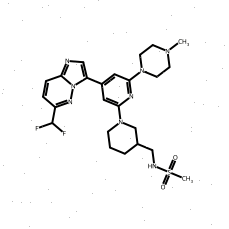 CN1CCN(c2cc(-c3cnc4ccc(C(F)F)nn34)cc(N3CCCC(CNS(C)(=O)=O)C3)n2)CC1